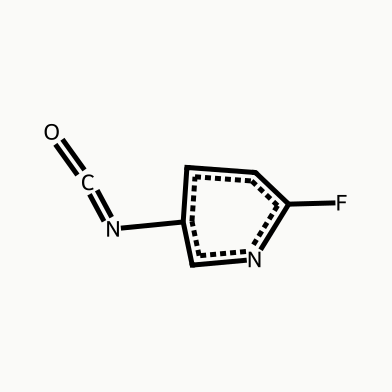 O=C=Nc1ccc(F)nc1